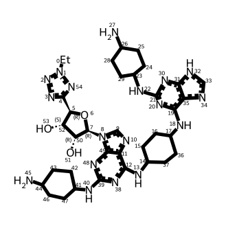 CCn1nnc([C@H]2O[C@@H](n3cnc4c(NC5CCC(Nc6nc(NC7CCC(N)CC7)nc7[nH]cnc67)CC5)nc(NC5CCC(N)CC5)nc43)[C@H](O)[C@@H]2O)n1